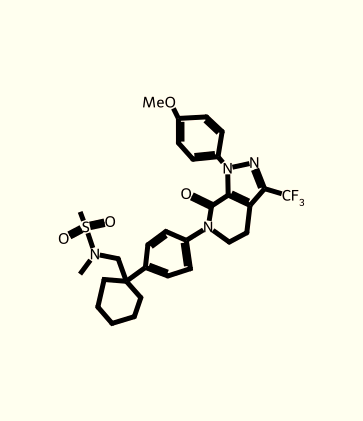 COc1ccc(-n2nc(C(F)(F)F)c3c2C(=O)N(c2ccc(C4(CN(C)S(C)(=O)=O)CCCCC4)cc2)CC3)cc1